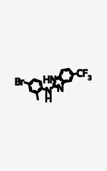 Cc1cc(Br)ccc1Nc1nc2cc(C(F)(F)F)ccc2[nH]1